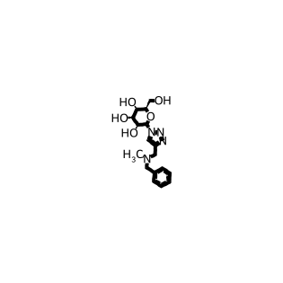 CN(Cc1ccccc1)Cc1cn(C2O[C@H](CO)[C@@H](O)[C@H](O)[C@H]2O)nn1